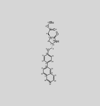 CC(C)(C)OC(=O)C[C@@H]1C[C@@H](COc2ccc(-c3ccc4cnccc4c3)cc2)NC1=O